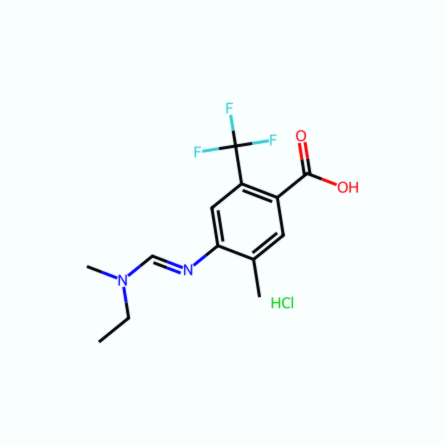 CCN(C)C=Nc1cc(C(F)(F)F)c(C(=O)O)cc1C.Cl